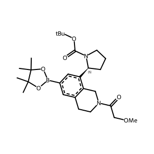 COCC(=O)N1CCc2cc(B3OC(C)(C)C(C)(C)O3)cc([C@@H]3CCCN3C(=O)OC(C)(C)C)c2C1